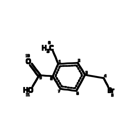 Cc1cc(CBr)ccc1C(=O)O